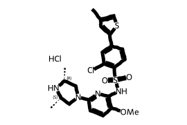 COc1ccc(N2C[C@@H](C)N[C@@H](C)C2)nc1NS(=O)(=O)c1ccc(-c2cc(C)cs2)cc1Cl.Cl